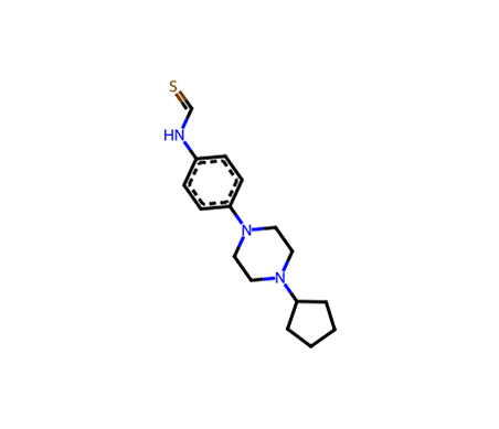 S=CNc1ccc(N2CCN(C3CCCC3)CC2)cc1